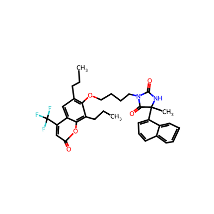 CCCc1cc2c(C(F)(F)F)cc(=O)oc2c(CCC)c1OCCCCN1C(=O)NC(C)(c2cccc3ccccc23)C1=O